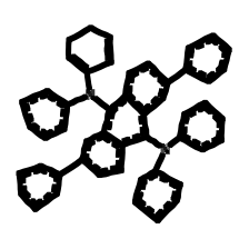 C1=CC(N(c2ccccc2)c2c3cc(-c4ccccc4)ccc3c(N(c3ccccc3)c3ccccc3)c3cc(-c4ccccc4)ccc23)=CCC1